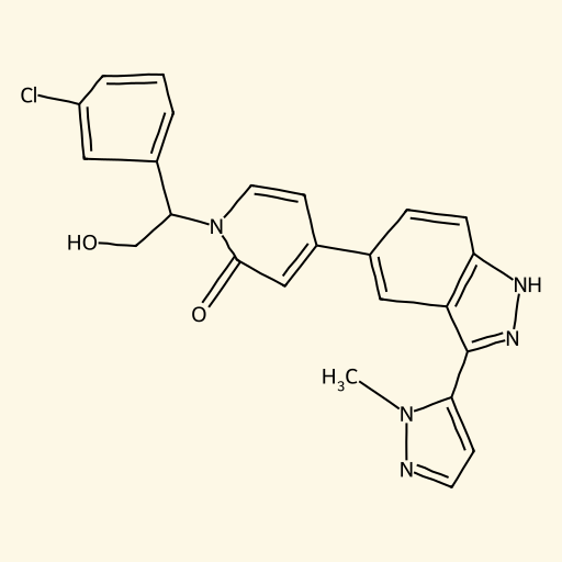 Cn1nccc1-c1n[nH]c2ccc(-c3ccn(C(CO)c4cccc(Cl)c4)c(=O)c3)cc12